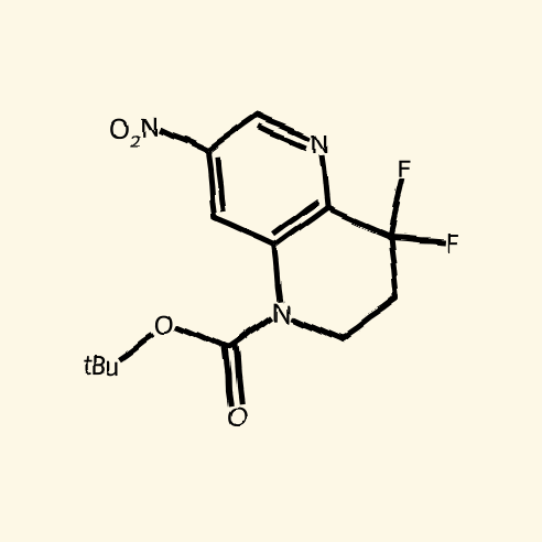 CC(C)(C)OC(=O)N1CCC(F)(F)c2ncc([N+](=O)[O-])cc21